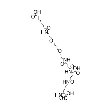 CN[C@@H](CCCCNC(=O)CC[C@H](NC(=O)CCC(=O)NCCCOCCCCOCCCNC(=O)CCCCCCC(=O)O)C(=O)O)C(=O)O